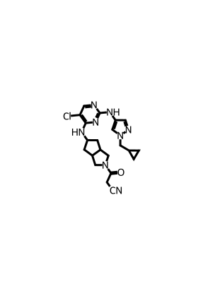 N#CCC(=O)N1CC2CC(Nc3nc(Nc4cnn(CC5CC5)c4)ncc3Cl)CC2C1